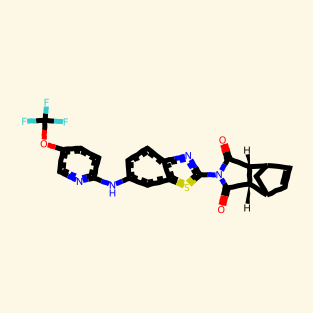 O=C1[C@@H]2C3C=CC(C3)[C@@H]2C(=O)N1c1nc2ccc(Nc3ccc(OC(F)(F)F)cn3)cc2s1